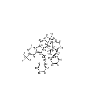 CC(C)(C)c1ccc2c(c1)=[C]([Zr]=[C](c1ccccc1)c1ccccc1)C1=C(C3=CC=CC3)C(c3ccccc3)(C(C)(C)C)C=CC=21